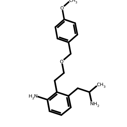 COc1ccc(COCCc2c(N)cccc2CC(C)N)cc1